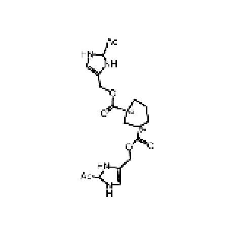 CC(=O)C1NC=C(COC(=O)[C@@H]2CCC[C@H](C(=O)OCC3=CNC(C(C)=O)N3)C2)N1